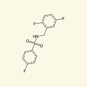 O=S(=O)(NCc1cc(F)ccc1F)c1ccc(F)cc1